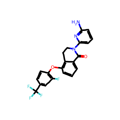 Nc1cccc(N2CCc3c(Oc4ccc(C(F)(F)F)cc4F)cccc3C2=O)n1